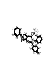 Cc1ccccc1-n1c(-c2ccc(Br)cc2)nc2nn(-c3ccccc3)cc2c1=O